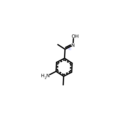 C/C(=N\O)c1ccc(C)c(N)c1